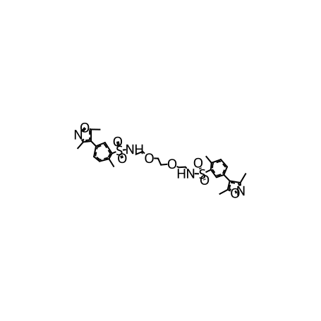 Cc1ccc(-c2c(C)noc2C)cc1S(=O)(=O)NCCOCCOCCNS(=O)(=O)c1cc(-c2c(C)noc2C)ccc1C